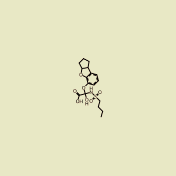 CCCCS(=O)(=O)NC(O)(Oc1cccc2c1OC1CCCC21)C(=O)O